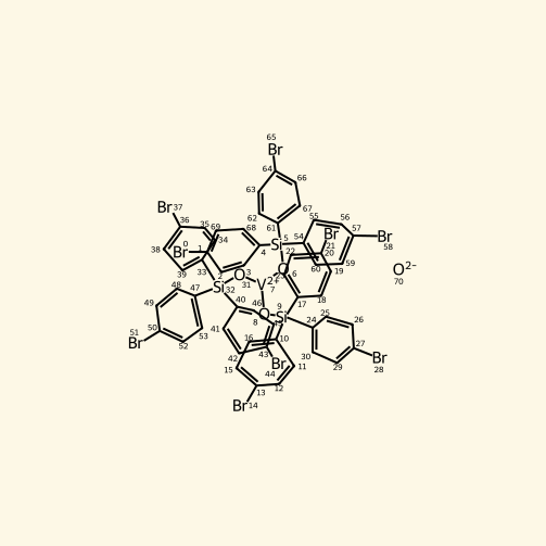 Brc1ccc([Si]([O][V+2]([O][Si](c2ccc(Br)cc2)(c2ccc(Br)cc2)c2ccc(Br)cc2)[O][Si](c2ccc(Br)cc2)(c2ccc(Br)cc2)c2ccc(Br)cc2)(c2ccc(Br)cc2)c2ccc(Br)cc2)cc1.[O-2]